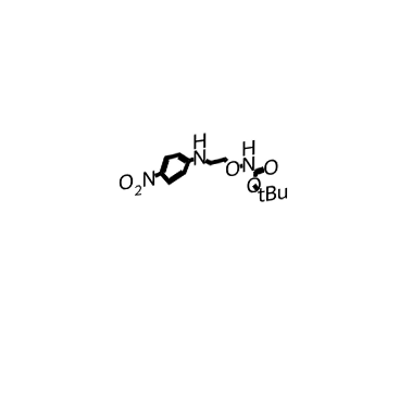 CC(C)(C)OC(=O)NOCCNc1ccc([N+](=O)[O-])cc1